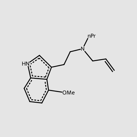 C=CCN(CCC)CCc1c[nH]c2cccc(OC)c12